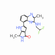 Cc1nc2cccc(-c3cc4c([nH]3)C(C)NC4=O)c2nc1NCC(F)F